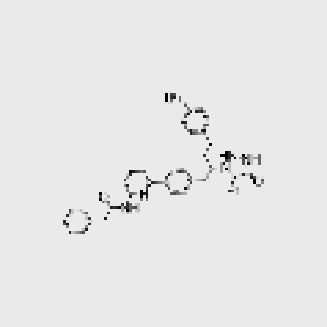 CCC1C(=O)NNN1C(CCc1ccc(C(C)(C)C)cc1)Cc1ccc(-c2cccc(NC(=O)Cc3ccccc3)n2)cc1